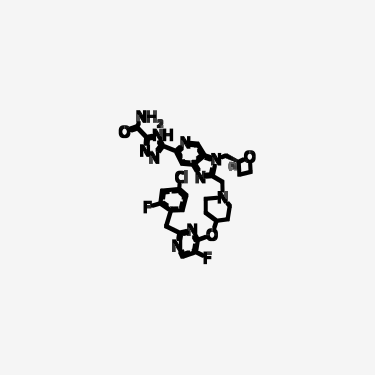 NC(=O)c1nnc(-c2cc3nc(CN4CCC(Oc5nc(Cc6ccc(Cl)cc6F)ncc5F)CC4)n(C[C@@H]4CCO4)c3cn2)[nH]1